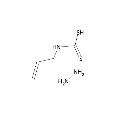 C=CCNC(=S)S.NN